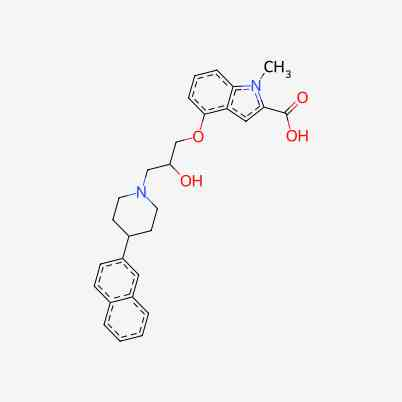 Cn1c(C(=O)O)cc2c(OCC(O)CN3CCC(c4ccc5ccccc5c4)CC3)cccc21